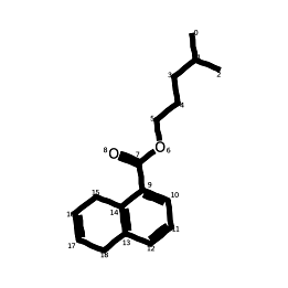 CC(C)CCCOC(=O)c1cccc2c1CC=C[CH]2